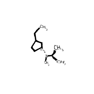 CCC1CC[C@@H](N(C)C(C)C)C1